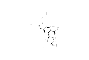 CC(Cc1ccc(C(N)=O)c(C2=CCC(C)(C)CC2)c1)NCCO.Cl